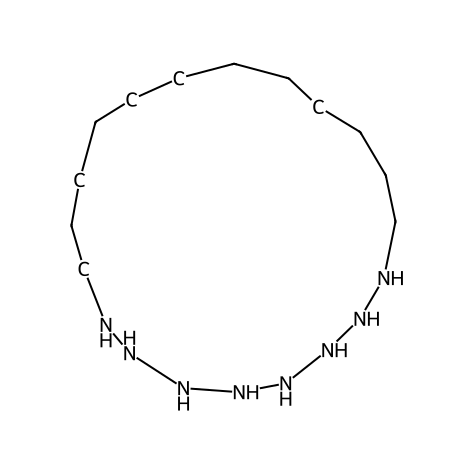 C1CCCCCCNNNNNNNNCCCCC1